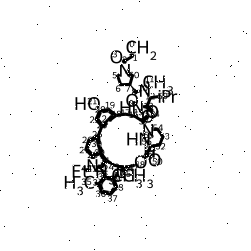 C=CC(=O)N1CC[C@H](C(=O)N(C)C(C(=O)N[C@H]2Cc3cc(O)cc(c3)-c3ccc4c(c3)c(c(-c3c(C)cccc3C)n4CC)CC(C)(C)COC(=O)[C@@H]3CCCN(N3)C2=O)C(C)C)C1